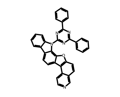 c1ccc(-c2nc(-c3ccccc3)nc(-n3c4ccccc4c4ccc5c(oc6ccc7cnccc7c65)c43)n2)cc1